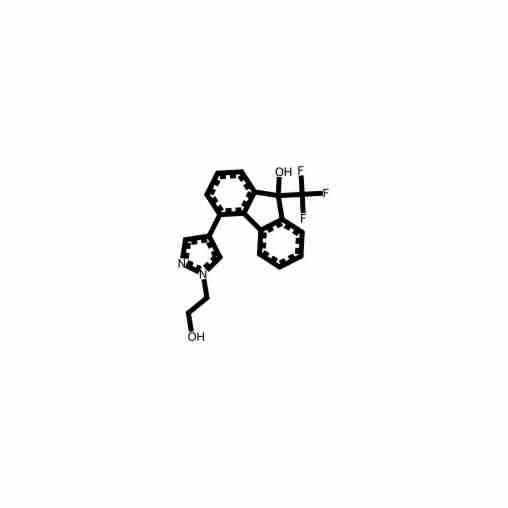 OCCn1cc(-c2cccc3c2-c2ccccc2C3(O)C(F)(F)F)cn1